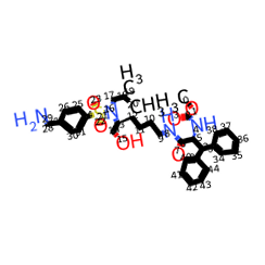 COC(=O)N[C@H](C(=O)NCCCC[C@@H](CO)N(CC(C)C)S(=O)(=O)c1ccc(CN)cc1)C(c1ccccc1)c1ccccc1